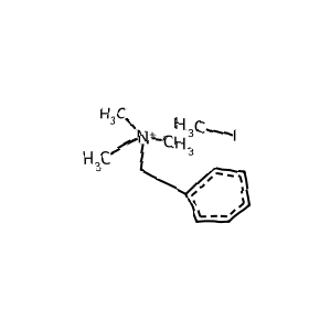 CI.C[N+](C)(C)Cc1ccccc1